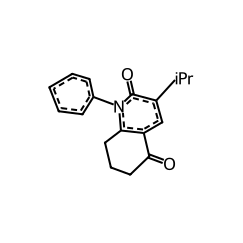 CC(C)c1cc2c(n(-c3ccccc3)c1=O)CCCC2=O